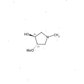 CO[C@H]1CN(C)C[C@@H]1O